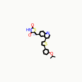 CC(C)Oc1cccc(-c2ccc(-c3ccnc4ccc(/C=C5\SC(=O)NC5=O)cc34)s2)c1